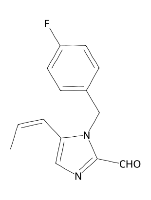 C/C=C\c1cnc(C=O)n1Cc1ccc(F)cc1